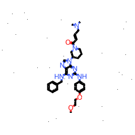 COCCOc1ccc(Nc2nc(NCc3ccccc3)c3ncn(C4CCCN(C(=O)C=CCN(C)C)C4)c3n2)cc1